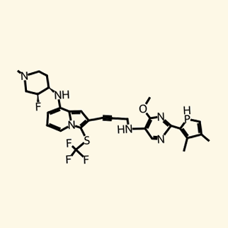 COc1nc(-c2[pH]cc(C)c2C)ncc1NCC#Cc1cc2c(N[C@@H]3CCN(C)C[C@@H]3F)cccn2c1SC(F)(F)F